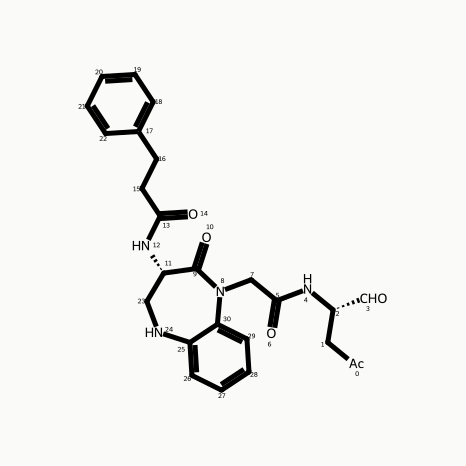 CC(=O)C[C@@H](C=O)NC(=O)CN1C(=O)[C@@H](NC(=O)CCc2ccccc2)CNc2ccccc21